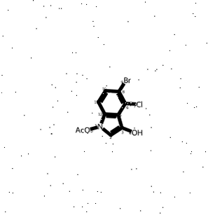 CC(=O)On1cc(O)c2c(Cl)c(Br)ccc21